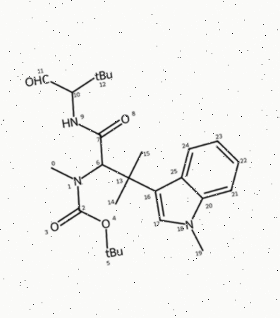 CN(C(=O)OC(C)(C)C)C(C(=O)NC(C=O)C(C)(C)C)C(C)(C)c1cn(C)c2ccccc12